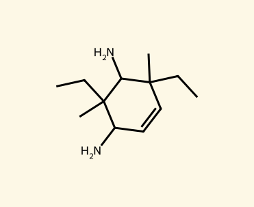 CCC1(C)C=CC(N)C(C)(CC)C1N